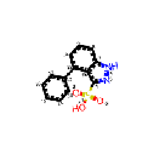 O=S(=O)(O)c1n[nH]c2cccc(-c3ccccc3)c12